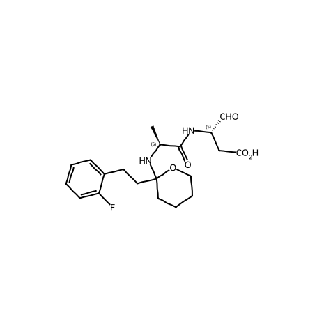 C[C@H](NC1(CCc2ccccc2F)CCCCO1)C(=O)N[C@H](C=O)CC(=O)O